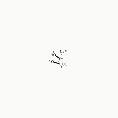 O=C([O-])[O-].[CH2]CO.[Ca+2]